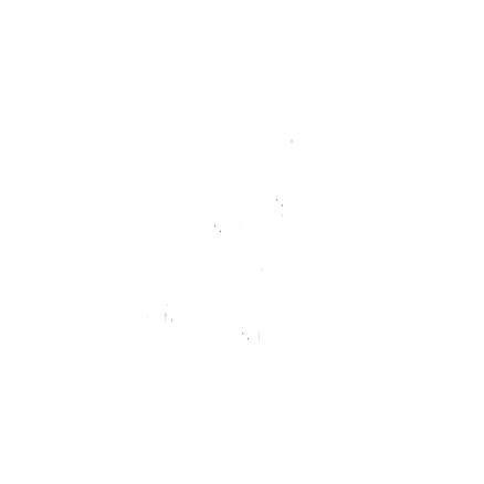 Cc1nc(N2CCOCC2)cc(N)c1[N+](=O)[O-]